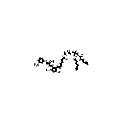 C#CCCCC(=O)OCC(C)(COC(=O)CCCC#C)COC(=O)OC(C)OC(=O)CCC/C=C\C[C@@H]1[C@@H](/C=C/[C@@H](O)COc2cccc(C(F)(F)F)c2)[C@H](O)C[C@@H]1O